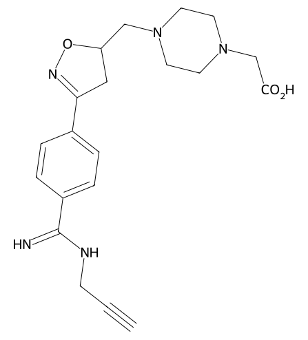 C#CCNC(=N)c1ccc(C2=NOC(CN3CCN(CC(=O)O)CC3)C2)cc1